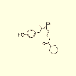 CCN(CCCC(=O)C1CCCCC1)C(C)Cc1ccc(O)cc1